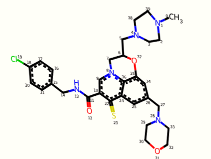 CN1CCN(CC2Cn3cc(C(=O)NCc4ccc(Cl)cc4)c(=S)c4cc(CN5CCOCC5)cc(c43)O2)CC1